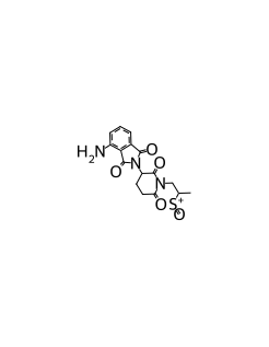 CC(CN1C(=O)CCC(N2C(=O)c3cccc(N)c3C2=O)C1=O)[S+]=O